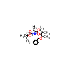 CC(C)C(OC(=O)[C@H](C)NC(=O)OC(C)(C)C)[C@H](C)OCc1ccccc1